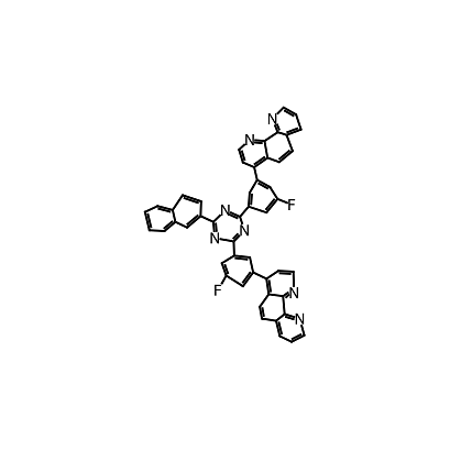 Fc1cc(-c2nc(-c3cc(F)cc(-c4ccnc5c4ccc4cccnc45)c3)nc(-c3ccc4ccccc4c3)n2)cc(-c2ccnc3c2ccc2cccnc23)c1